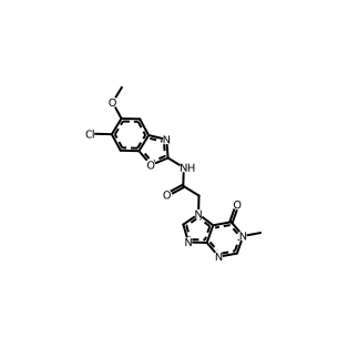 COc1cc2nc(NC(=O)Cn3cnc4ncn(C)c(=O)c43)oc2cc1Cl